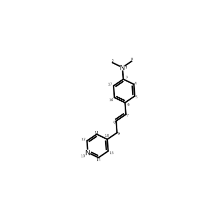 CN(C)c1ccc(C=CCc2ccncc2)cc1